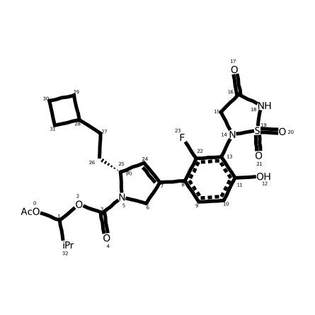 CC(=O)OC(OC(=O)N1CC(c2ccc(O)c(N3CC(=O)NS3(=O)=O)c2F)=C[C@H]1CCC1CCC1)C(C)C